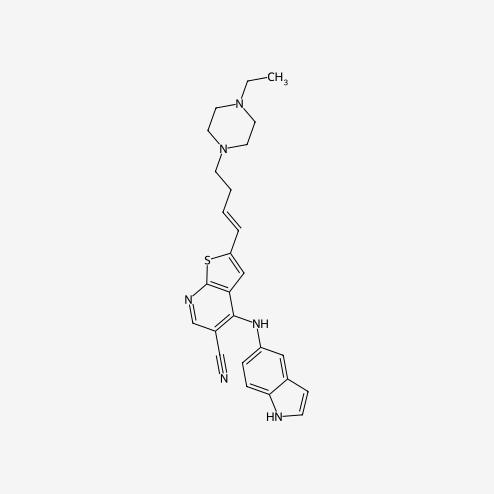 CCN1CCN(CC/C=C/c2cc3c(Nc4ccc5[nH]ccc5c4)c(C#N)cnc3s2)CC1